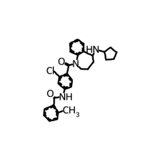 Cc1ccccc1C(=O)Nc1ccc(C(=O)N2CCCC(NC3CCCC3)c3ccccc32)c(Cl)c1